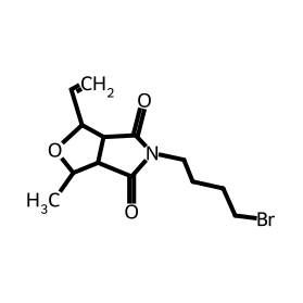 C=CC1OC(C)C2C(=O)N(CCCCBr)C(=O)C12